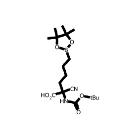 CC(C)(C)OC(=O)NC(C#N)(CCCCB1OC(C)(C)C(C)(C)O1)C(=O)O